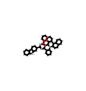 c1ccc(-c2nc(-c3ccc4c(c3)sc3ccccc34)nc(-c3ccccc3N3c4ccc5ccccc5c4-c4cccc5cccc3c45)n2)cc1